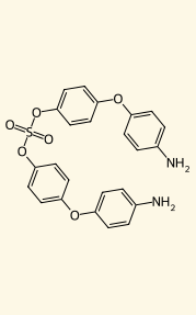 Nc1ccc(Oc2ccc(OS(=O)(=O)Oc3ccc(Oc4ccc(N)cc4)cc3)cc2)cc1